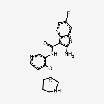 Nc1nn2cc(F)cnc2c1C(=O)Nc1cnccc1O[C@H]1CCCNC1